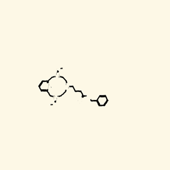 O=C(CCCN1CCN(SI)Cc2cccc(n2)CN(SI)CC1)OCc1ccccc1